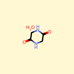 O.O=C1CNC(=O)CN1